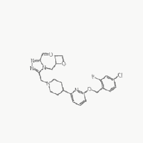 O=Cc1nnc(CN2CCC(c3cccc(OCc4ccc(Cl)cc4F)n3)CC2)n1CC1CCO1